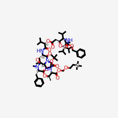 CC(C)C[C@H](NC(=O)[C@@H](OC(=O)C[C@H](O[Si](C(C)C)(C(C)C)C(C)C)[C@H](NC(=O)OCc1ccccc1)C(C)C)C(C)C)C(=O)N1CCC[C@H]1C(=O)N(C)[C@@H](Cc1ccccc1)C(=O)O[C@H](C)[C@H](NC(=O)OC(C)(C)C)C(=O)OCOCC[Si](C)(C)C